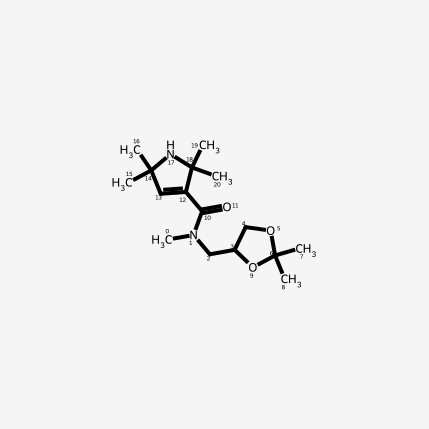 CN(CC1COC(C)(C)O1)C(=O)C1=CC(C)(C)NC1(C)C